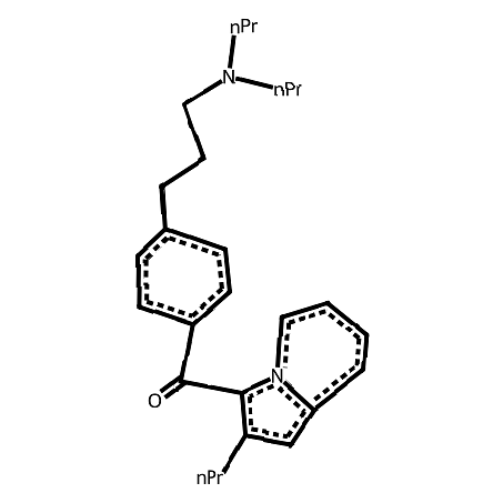 CCCc1cc2ccccn2c1C(=O)c1ccc(CCCN(CCC)CCC)cc1